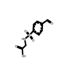 O=Cc1ccc(S(=O)(=O)NCC(=O)O)cc1